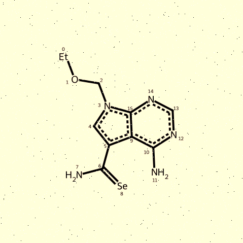 CCOCn1cc(C(N)=[Se])c2c(N)ncnc21